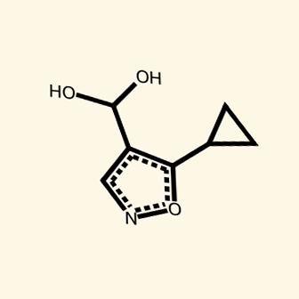 OC(O)c1cnoc1C1CC1